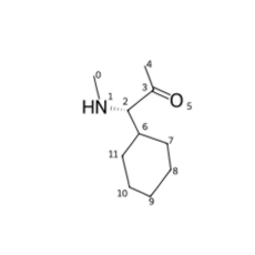 CN[C@H](C(C)=O)C1CCCCC1